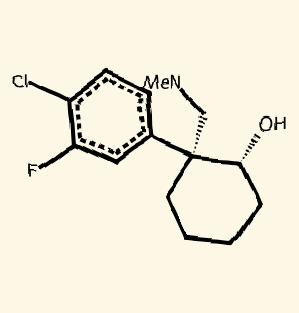 CNC[C@@]1(c2ccc(Cl)c(F)c2)CCCC[C@H]1O